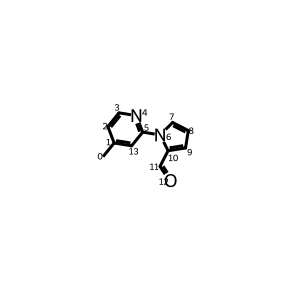 Cc1ccnc(-n2cccc2C=O)c1